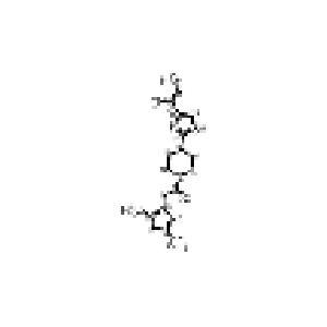 Cc1cc(C(F)(F)F)nn1CC(=O)N1CCC(c2nc(C(Cl)=NO)cs2)CC1